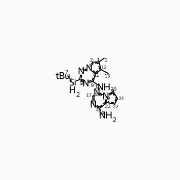 Cc1cn2nc([SiH2]C(C)(C)C)nc(N)c2c1C.Nc1ncnn2cccc12